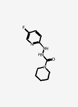 O=C(NNc1ccc(F)cn1)N1CCCCC1